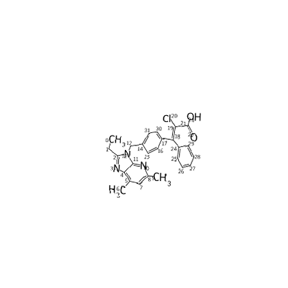 CCc1nc2c(C)cc(C)nc2n1Cc1ccc(C(=C(Cl)C(=O)O)c2ccccc2)cc1